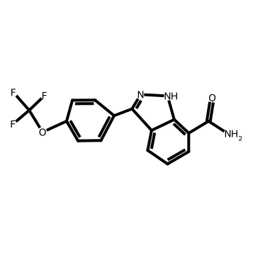 NC(=O)c1cccc2c(-c3ccc(OC(F)(F)F)cc3)n[nH]c12